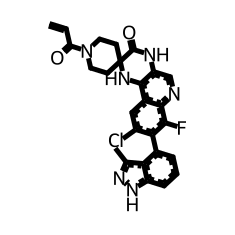 C=CC(=O)N1CCC2(CC1)Nc1c(cnc3c(F)c(-c4cccc5[nH]nc(C)c45)c(Cl)cc13)NC2=O